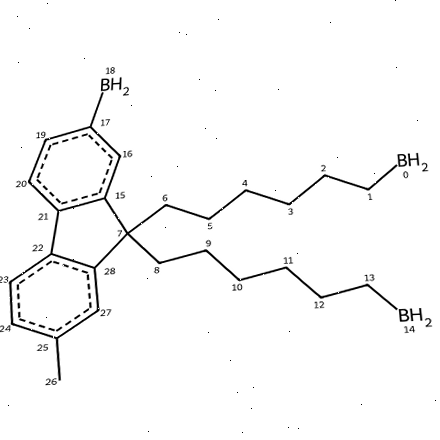 BCCCCCCC1(CCCCCCB)c2cc(B)ccc2-c2ccc(C)cc21